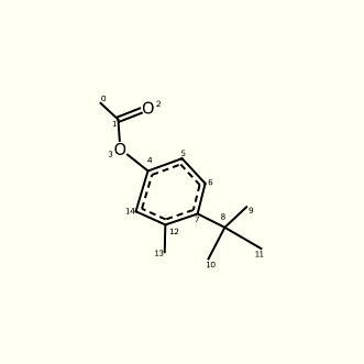 CC(=O)Oc1ccc(C(C)(C)C)c(C)c1